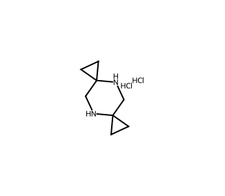 C1CC12CNC1(CC1)CN2.Cl.Cl